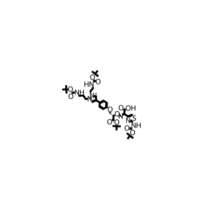 CC(C)(C)OC(=O)NCCCn1cc(-c2ccc(OC[C@H](O/N=C(\C(=O)O)c3csc(NC(=O)OC(C)(C)C)n3)C(=O)OC(C)(C)C)cc2)c[n+]1CCNC(=O)OC(C)(C)C